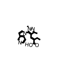 CCC(=Cc1c(C)nn(C)c1-n1ccc2cnccc21)C(=O)O